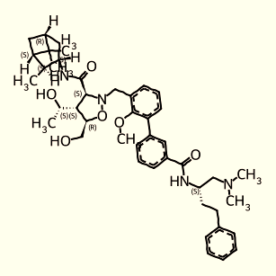 COc1c(CN2O[C@@H](CO)[C@H]([C@H](C)O)[C@H]2C(=O)N[C@H]2C[C@H]3C[C@@H]([C@@H]2C)C3(C)C)cccc1-c1cccc(C(=O)N[C@@H](CCc2ccccc2)CN(C)C)c1